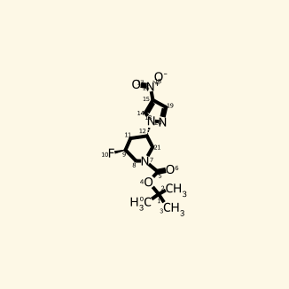 CC(C)(C)OC(=O)N1C[C@@H](F)C[C@H](n2cc([N+](=O)[O-])cn2)C1